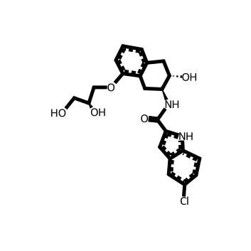 O=C(N[C@H]1Cc2c(cccc2OC[C@@H](O)CO)C[C@@H]1O)c1cc2cc(Cl)ccc2[nH]1